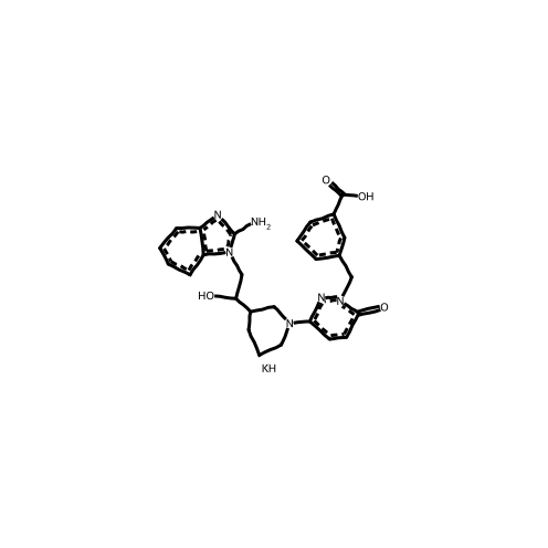 Nc1nc2ccccc2n1CC(O)C1CCCN(c2ccc(=O)n(Cc3cccc(C(=O)O)c3)n2)C1.[KH]